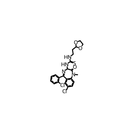 CN1C(=O)C(NC(=S)NCCC2OCCO2)N=C(c2ccccc2Cl)c2cc(Cl)ccc21